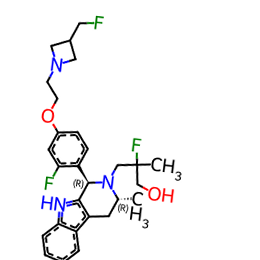 C[C@@H]1Cc2c([nH]c3ccccc23)[C@@H](c2ccc(OCCN3CC(CF)C3)cc2F)N1CC(C)(F)CO